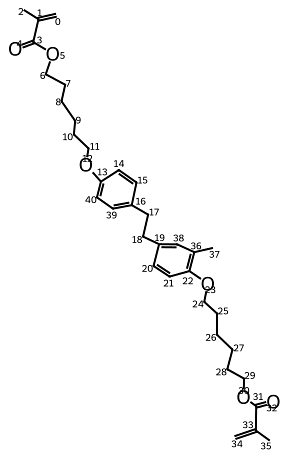 C=C(C)C(=O)OCCCCCCOc1ccc(CCc2ccc(OCCCCCCOC(=O)C(=C)C)c(C)c2)cc1